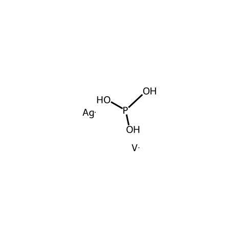 OP(O)O.[Ag].[V]